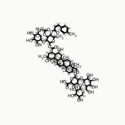 CC(=O)OC1C(OC(=O)/C=C\c2ccc(C)cc2)C(C)OC(OC(=O)[C@@H]2CC(C)(C)C[C@@H]3C2[C@H](O)C[C@]2(C)C3C=C[C@@H]3[C@@]4(C)CC[C@H](OC5OC(C(=O)O)C(O)C(OC6OCC(O)C(O)C6O)C5OC5OC(CO)C(O)C(O)C5O)[C@@](C)(C=O)[C@@H]4CC[C@]32C)C1OC1CC(C)C(O)C(O)C1O